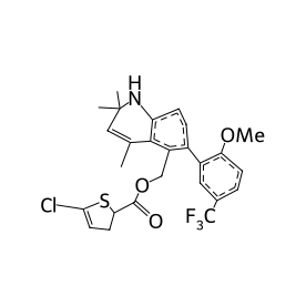 COc1ccc(C(F)(F)F)cc1-c1ccc2c(c1COC(=O)C1CC=C(Cl)S1)C(C)=CC(C)(C)N2